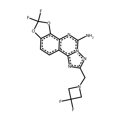 Nc1nc2c3c(ccc2c2nc(CN4CC(F)(F)C4)nn12)OC(F)(F)O3